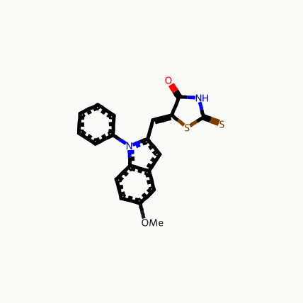 COc1ccc2c(c1)cc(/C=C1\SC(=S)NC1=O)n2-c1ccccc1